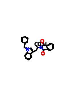 O=C(O)C(Cc1cn(Cc2ccccc2)c2ccccc12)N1C(=O)c2ccccc2C1=O